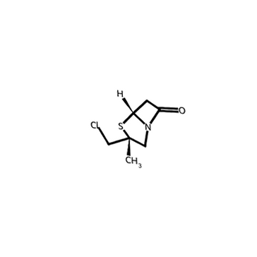 C[C@]1(CCl)CN2C(=O)C[C@H]2S1